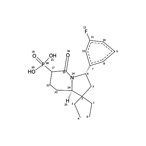 CCC1(CC)C[C@@H](c2cccc(F)c2)N2C(=O)C(P(=O)(O)O)CC[C@@H]21